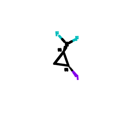 FB(F)[C@@H]1C[C@H]1I